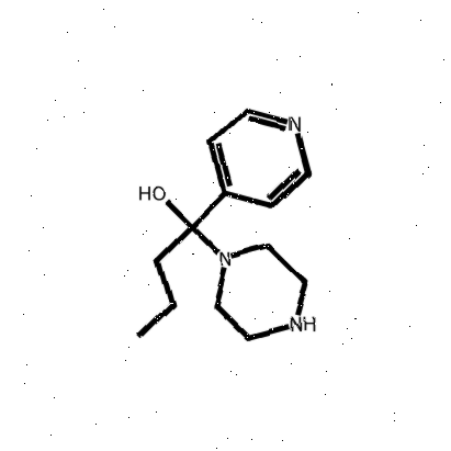 CCCC(O)(c1ccncc1)N1CCNCC1